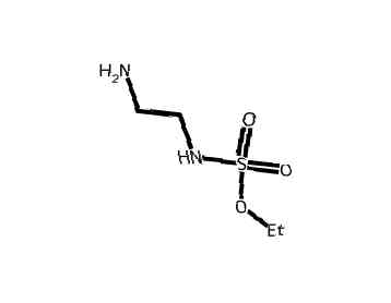 CCOS(=O)(=O)NCCN